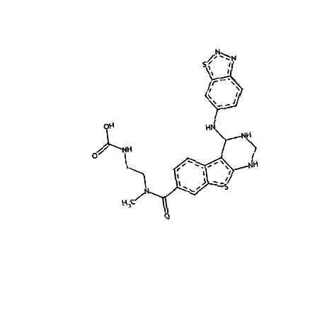 CN(CCNC(=O)O)C(=O)c1ccc2c3c(sc2c1)NCNC3Nc1ccc2nnsc2c1